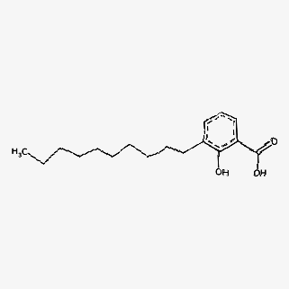 CCCCCCCCCCc1cccc(C(=O)O)c1O